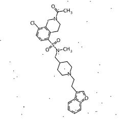 CC(=O)N1CCc2c(S(=O)(=O)N(C)CC3CCN(CCc4coc5ccccc45)CC3)ccc(Cl)c2C1